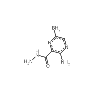 Bc1cnc(N)c(C(=O)NN)n1